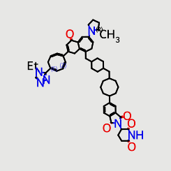 CCn1cnnc1/C1=C/C=C\C(C2=CC(=O)C3=CC(N4CCC[C@H]4C)=CCC(CC4CCC(CC5CCCC(c6ccc7c(c6)C(=O)N(C6CCC(=O)NC6=O)C7=O)CCC5)CC4)=C3C2)=C=CC1